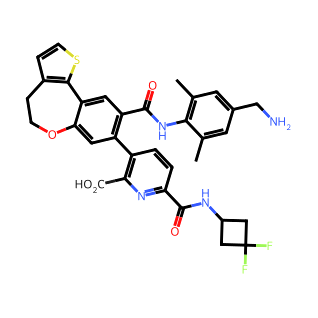 Cc1cc(CN)cc(C)c1NC(=O)c1cc2c(cc1-c1ccc(C(=O)NC3CC(F)(F)C3)nc1C(=O)O)OCCc1ccsc1-2